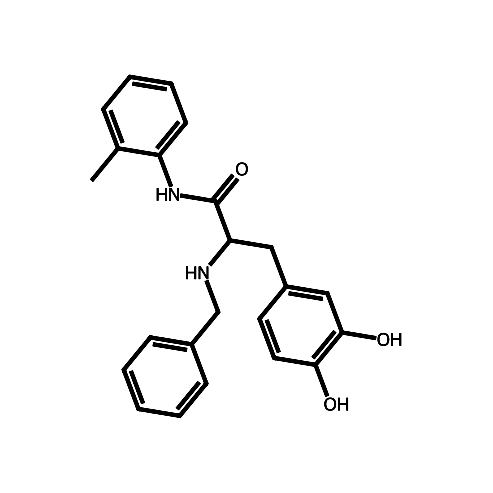 Cc1ccccc1NC(=O)C(Cc1ccc(O)c(O)c1)NCc1ccccc1